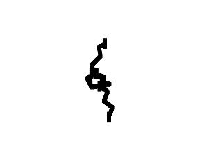 ICCCn1cc[n+](CCCI)c1